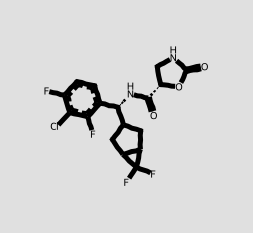 O=C1NC[C@@H](C(=O)N[C@@H](c2ccc(F)c(Cl)c2F)C2CC3C(C2)C3(F)F)O1